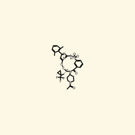 CC(=O)N1CCC(N2C(=O)c3cccc(c3)S(=O)(=O)Nc3nc(cc(-c4c(C)cccc4C)n3)OC[C@H]2CC2(C(F)(F)F)CC2)CC1